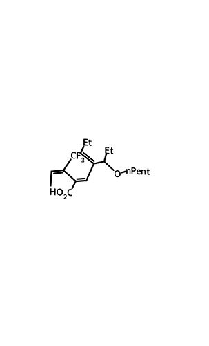 C\C=C(/C(=C\C(=C\CC)C(CC)OCCCCC)C(=O)O)C(F)(F)F